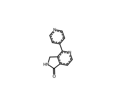 O=C1NCc2c1ccnc2-c1ccncc1